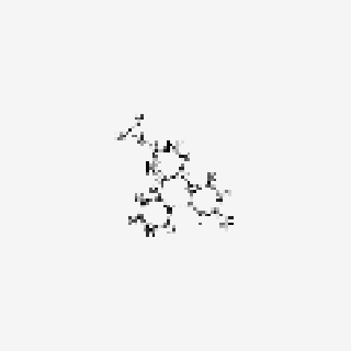 Fc1ccc(-c2cnc(C3CC3)nc2-c2ccncc2)cc1